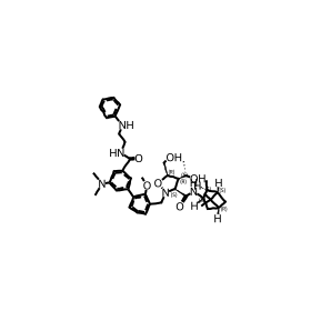 COc1c(CN2O[C@@H](CO)[C@@H]([C@H](C)O)[C@H]2C(=O)N[C@H]2C[C@H]3C[C@@H]([C@@H]2C)C3(C)C)cccc1-c1cc(C(=O)NCCNc2ccccc2)cc(N(C)C)c1